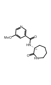 COc1cncc(C(=O)N[C@@H]2CCCCNC2=O)c1